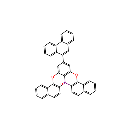 O=P12c3ccc4ccccc4c3Oc3cc(-c4cc5ccccc5c5ccccc45)cc(c31)Oc1c2ccc2ccccc12